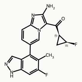 Cc1c(F)cc2[nH]ncc2c1-c1ccc2nc(N)c(C(=O)[C@@H]3C[C@@H]3F)n2c1